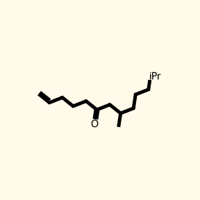 C=CCCCC(=O)CC(C)CCCC(C)C